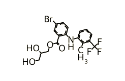 Cc1c(Nc2ccc(Br)cc2C(=O)OCC(O)CO)cccc1C(F)(F)F